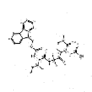 CC[C@H](C)[C@H](NC(=O)OCC1c2ccccc2-c2ccccc21)C(=O)NC(C)(C)C(=O)N(C)[C@@H](CC(=O)O)C(=O)N(C)C